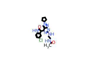 CC(=O)NCCNc1nc(C2C(=O)Nc3ccc(Cl)cc32)c2cn(C3CCCC3)nc2n1